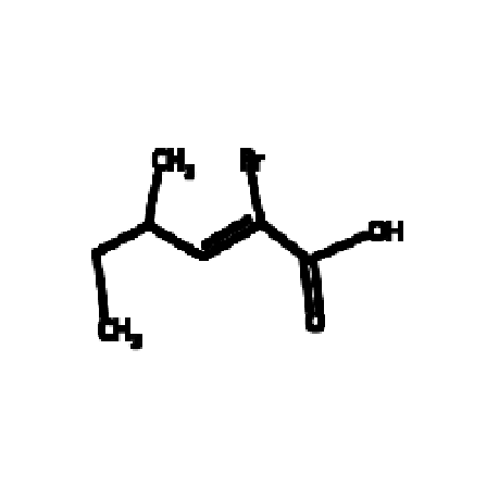 CCC(C)C=C(Br)C(=O)O